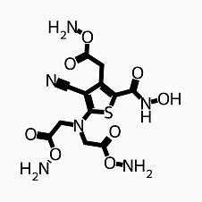 N#Cc1c(N(CC(=O)ON)CC(=O)ON)sc(C(=O)NO)c1CC(=O)ON